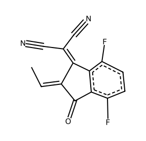 C/C=C1/C(=O)c2c(F)ccc(F)c2C1=C(C#N)C#N